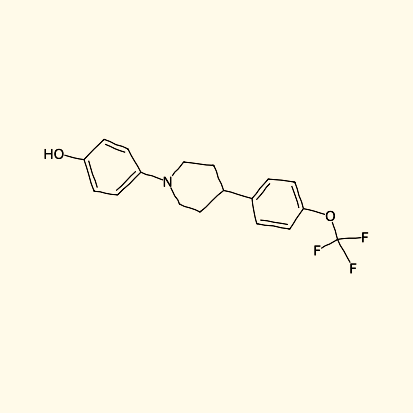 Oc1ccc(N2CCC(c3ccc(OC(F)(F)F)cc3)CC2)cc1